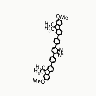 COc1ccc2c(c1)C(C)(C)c1cc(-c3ccc(-c4ccc(-c5ccc(-c6ccc7c(c6)C(C)(C)c6cc(OC)ccc6-7)cc5)c5nsnc45)cc3)ccc1-2